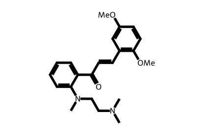 COc1ccc(OC)c(C=CC(=O)c2ccccc2N(C)CCN(C)C)c1